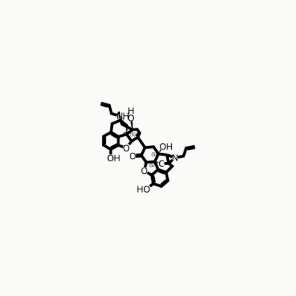 C=CCNC[C@]1(O)CC=C(C2C[C@@]3(O)C4N(CC=C)C45Cc4ccc(O)c6c4[C@@]3(C5)C(O6)C2=O)C2Oc3c(O)ccc4c3[C@@]21C[C@H](C)C4